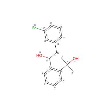 CC(C)(O)c1ccccc1C(O)Cc1cccc(Br)c1